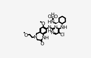 COCCN1CC(=O)Nc2cc(Nc3ncc(Cl)c(N[C@@H]4CCCC[C@@H]4CN[SH](=O)=O)n3)c(OC)cc2C1